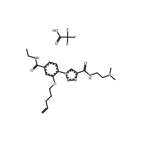 C=CCCCOc1cc(C(=O)NCC)ccc1-n1cc(C(=O)NCCN(C)C)nn1.O=C(O)C(F)(F)F